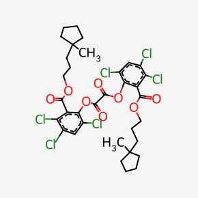 CC1(CCCOC(=O)c2c(Cl)c(Cl)cc(Cl)c2OC(=O)C(=O)Oc2c(Cl)cc(Cl)c(Cl)c2C(=O)OCCCC2(C)CCCC2)CCCC1